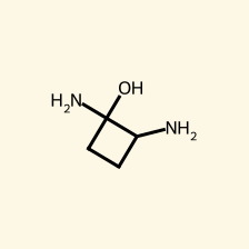 NC1CCC1(N)O